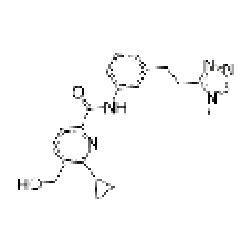 Cn1cnnc1CCc1cccc(NC(=O)c2ccc(CO)c(C3CC3)n2)c1